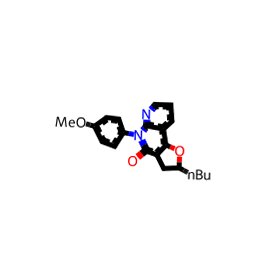 CCCCC1Cc2c(c3cccnc3n(-c3ccc(OC)cc3)c2=O)O1